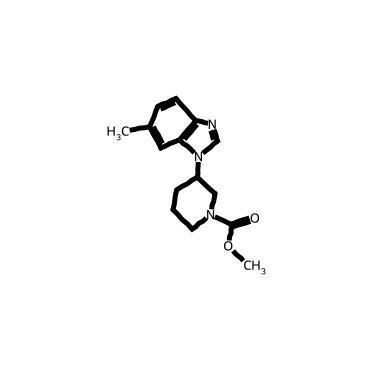 COC(=O)N1CCCC(n2cnc3ccc(C)cc32)C1